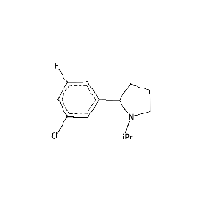 CC(C)N1CCCC1c1cc(F)cc(Cl)c1